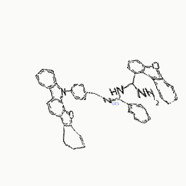 NC(N/C(=N\Cc1ccc(-n2c3ccccc3c3ccc4c5c(oc4c32)C=CCC5)cc1)c1ccccc1)c1cccc2oc3ccccc3c12